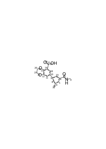 CNC(=O)c1cc(F)cc(-c2cc3c(c(C(=O)O)c2)OCCO3)c1